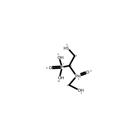 O=[PH](CO)C(CS)P(=O)(O)O